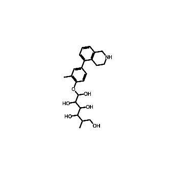 Cc1cc(-c2cccc3c2CCNC3)ccc1OC(O)C(O)C(O)C(O)C(C)CO